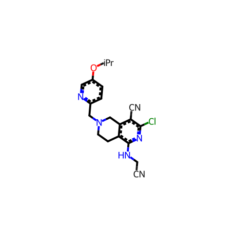 CC(C)Oc1ccc(CN2CCc3c(NCC#N)nc(Cl)c(C#N)c3C2)nc1